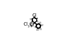 CC(Cl)(Cl)Cl.ClC1=CCC(Cl)(c2ccccc2)C=C1